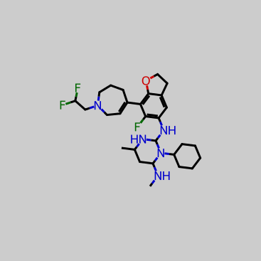 CNC1CC(C)NC(Nc2cc3c(c(C4=CCN(CC(F)F)CCC4)c2F)OCC3)N1C1CCCCC1